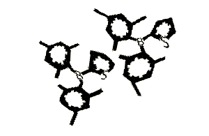 Cc1cc(C)c(B(c2cccs2)c2c(C)cc(C)cc2C)c(C)c1.Cc1cc(C)c(B(c2cccs2)c2c(C)cc(C)cc2C)c(C)c1